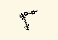 Cc1nnc2c(NCCCCNC(=O)CC(C)C)nc3cc(OCc4ccc(C#N)cc4)ccc3n12